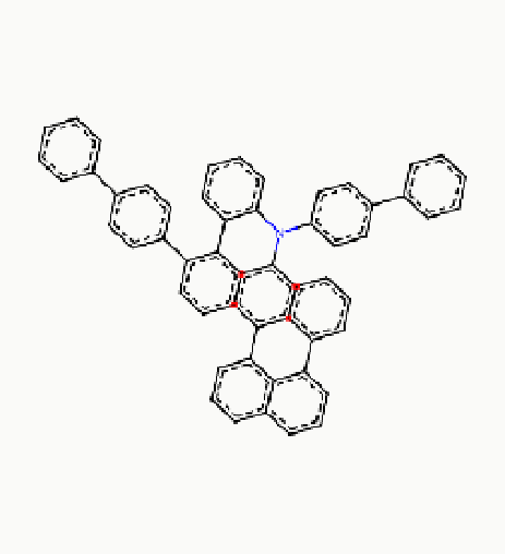 c1ccc(-c2ccc(-c3ccccc3-c3ccccc3N(c3ccc(-c4ccccc4)cc3)c3ccc(-c4cccc5cccc(-c6ccccc6)c45)cc3)cc2)cc1